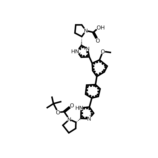 COc1ccc(-c2ccc(-c3cnc([C@@H]4CCCN4C(=O)OC(C)(C)C)[nH]3)cc2)cc1-c1c[nH]c([C@@H]2CCCN2C(=O)O)n1